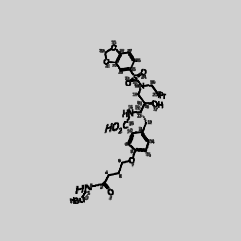 CCCCNC(=O)CCCOc1ccc(C[C@H](NC(=O)O)[C@H](O)CN(CC(C)C)S(=O)(=O)c2ccc3c(c2)OCO3)cc1